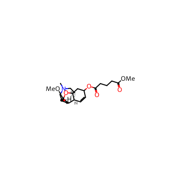 COC(=O)CCCC(=O)OC1C=C[C@@]23CCN(C)Cc4ccc(OC)c(c42)O[C@H]3C1